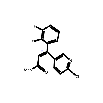 CNC(=O)/C=C(\c1ccc(Cl)nc1)c1cccc(F)c1F